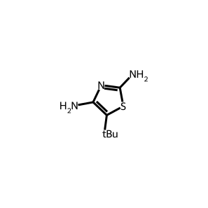 CC(C)(C)c1sc(N)nc1N